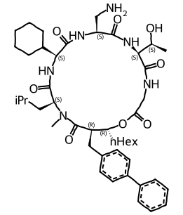 CCCCCC[C@H]1OC(=O)CNC(=O)[C@H]([C@H](C)O)NC(=O)[C@H](CN)NC(=O)[C@H](C2CCCCC2)NC(=O)[C@H](CC(C)C)N(C)C(=O)[C@@H]1Cc1ccc(-c2ccccc2)cc1